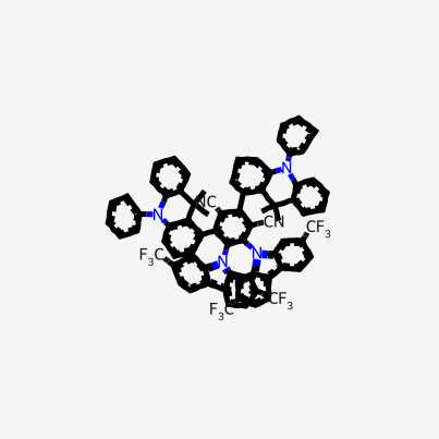 CC1(C)c2ccccc2N(c2ccccc2)c2cccc(-c3c(C#N)c(-c4cccc5c4C(C)(C)c4ccccc4N5c4ccccc4)c(-n4c5cc(C(F)(F)F)ccc5c5ccc(C(F)(F)F)cc54)c(-n4c5cc(C(F)(F)F)ccc5c5ccc(C(F)(F)F)cc54)c3C#N)c21